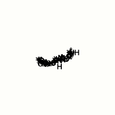 Cc1cc2cc(Oc3ccnc(Nc4cccc(OCCN5CCN(C(=O)OC(C)(C)C)CC5)c4)n3)ccc2[nH]1